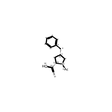 CC(=O)N1C[C@@H](Cc2ccccc2)C[C@H]1C(O)=S